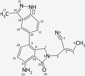 C/C=C(\C#N)CN1Cc2c(-c3ccc4[nH]nc(C)c4c3)ccc(N)c2C1=O